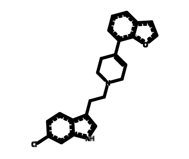 Clc1ccc2c(CCN3CC=C(c4cccc5ccoc45)CC3)c[nH]c2c1